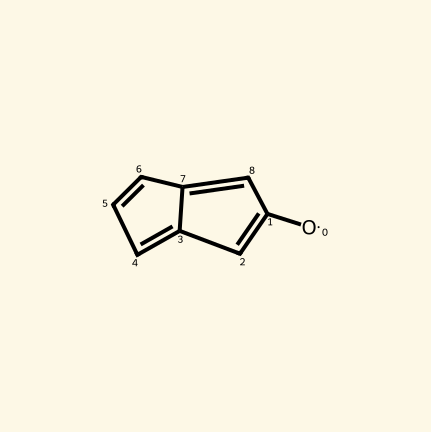 [O]C1=CC2=CC=CC2=C1